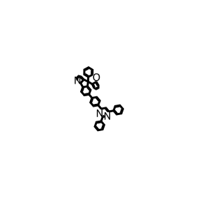 c1ccc(-c2cc(-c3ccc(-c4ccc5c(c4)C4(c6ccccc6Oc6ccccc64)c4cccnc4-5)cc3)nc(-c3ccccc3)n2)cc1